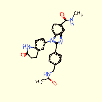 CNC(=O)c1ccc2c(c1)nc(-c1ccc(CNC(C)=O)cc1)n2-c1ccc2c(c1)CCC(=O)N2